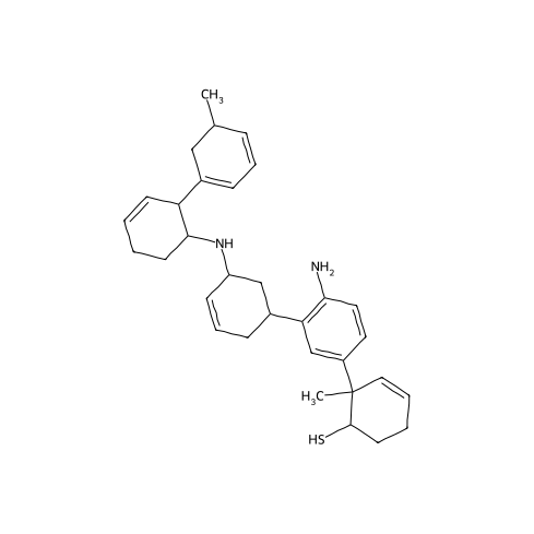 CC1C=CC=C(C2C=CCCC2NC2C=CCC(c3cc(C4(C)C=CCCC4S)ccc3N)C2)C1